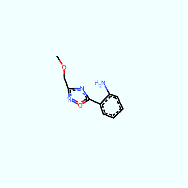 COCc1noc(-c2ccccc2N)n1